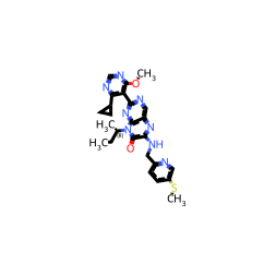 CC[C@@H](C)n1c(=O)c(NCc2ccc(SC)cn2)nc2cnc(-c3c(OC)ncnc3C3CC3)nc21